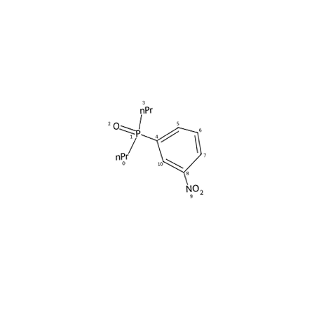 CCCP(=O)(CCC)c1cccc([N+](=O)[O-])c1